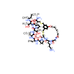 CN[C@@H](CSCc1cc2cc(c1)OCCCCCCO/N=C/C(=O)N[C@@H](CCCCN)C(=O)N[C@H](C(=O)N1CCC[C@H]1C(=O)N[C@@H](CC(C)C)C(=O)N[C@@H](CC(=O)O)C(=O)N[C@H](C(=O)N1CCC[C@H]1C(=O)N[C@H](C(=O)N[C@H](C=O)CCC(=O)O)[C@@H](C)O)[C@@H](C)O)CSC2)C(N)=O